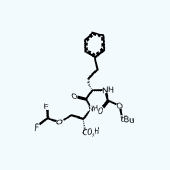 CC(C)(C)OC(=O)N[C@@H](CCc1ccccc1)C(=O)N[C@@H](COC(F)F)C(=O)O